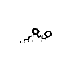 C[C@@H](CC1CCCCC1)NCc1ccccc1OC[C@@H](O)CO